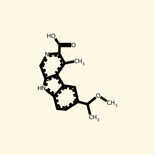 COC(C)c1ccc2[nH]c3cnc(C(=O)O)c(C)c3c2c1